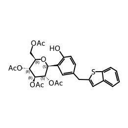 CC(=O)OC[C@H]1O[C@@H](c2cc(Cc3cc4ccccc4s3)ccc2O)[C@H](OC(C)=O)[C@@H](OC(C)=O)[C@@H]1OC(C)=O